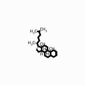 CC(C)CCC[C@@H](C)[C@H]1CC[C@H]2[C@@H]3CCC4CC=CC[C@]4(C)[C@H]3CC[C@]12C